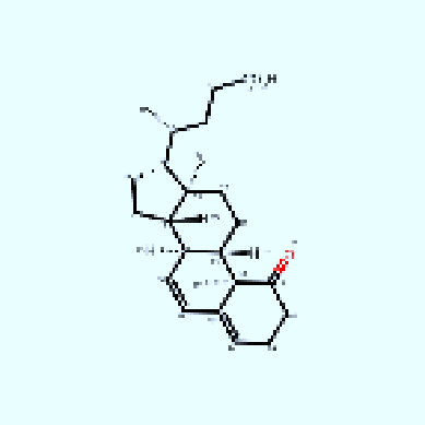 C[C@H](CCC(=O)O)[C@H]1CC[C@H]2[C@@H]3C=CC4=CCCC(=O)[C@]4(C)[C@H]3CC[C@]12C